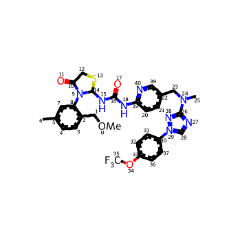 COCc1ccc(C)cc1N1C(=O)CSC1NC(=O)Nc1ccc(CN(C)c2ncn(-c3ccc(OC(F)(F)F)cc3)n2)cn1